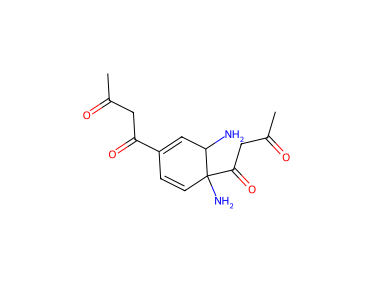 CC(=O)CC(=O)C1=CC(N)C(N)(C(=O)CC(C)=O)C=C1